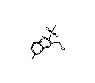 Cc1ccc2nc(S(C)(=O)=O)c(CCl)cc2c1